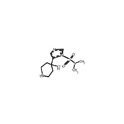 CN(C)S(=O)(=O)n1cncc1C1(O)CCNCC1